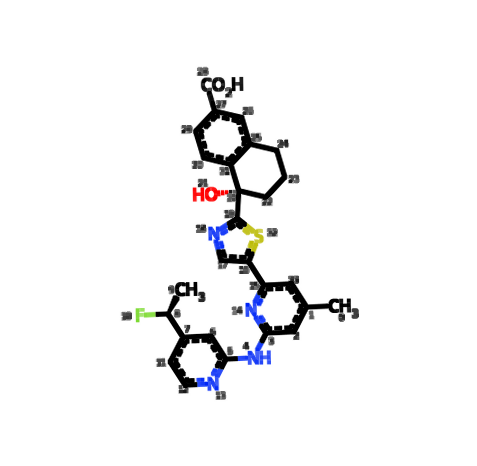 Cc1cc(Nc2cc([C@H](C)F)ccn2)nc(-c2cnc([C@]3(O)CCCc4cc(C(=O)O)ccc43)s2)c1